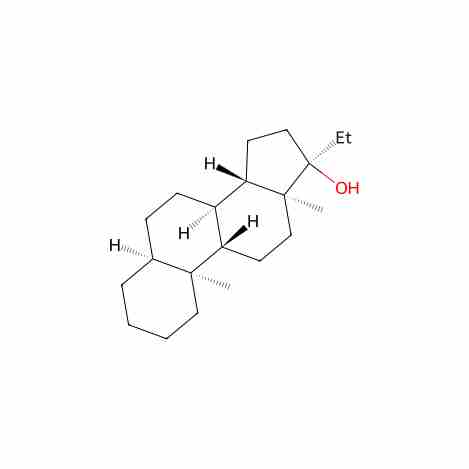 CC[C@@]1(O)CC[C@H]2[C@@H]3CC[C@@H]4CCCC[C@]4(C)[C@H]3CC[C@@]21C